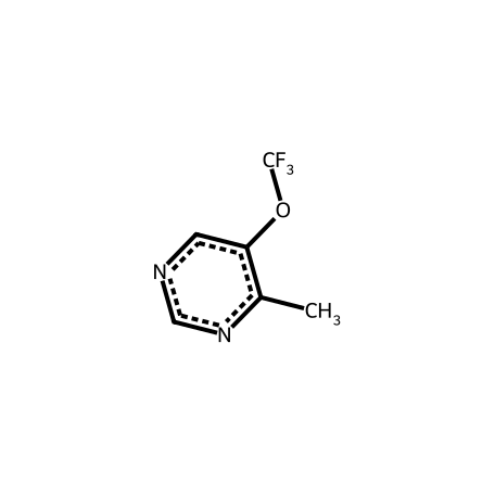 Cc1ncncc1OC(F)(F)F